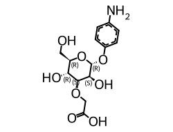 Nc1ccc(O[C@H]2O[C@H](CO)[C@@H](O)[C@H](OCC(=O)O)[C@@H]2O)cc1